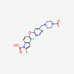 CC(=O)N1CCN(Cc2cc(Oc3ccc4c(cc(C)n4C(=O)O)c3F)ncn2)CC1